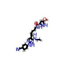 CCCNc1nc(Nc2ccc(C#N)cc2)ncc1C#CCCCNC(=O)[C@@H]1C[C@H](OC)CN1